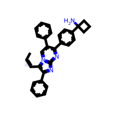 C/C=C\c1c(-c2ccccc2)nc2nc(-c3ccc(C4(N)CCC4)cc3)c(-c3ccccc3)cn12